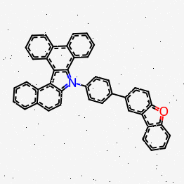 c1ccc2c(c1)ccc1c2c2c3ccccc3c3ccccc3c2n1-c1ccc(-c2ccc3oc4ccccc4c3c2)cc1